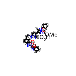 COCCOC1(Cn2ncc(-c3ccc(N4CCc5cccc(C(=O)Nc6nc7ccccc7o6)c5C4)nc3C(=O)O)c2C)CCCCC1